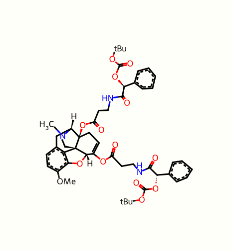 COc1ccc2c3c1O[C@H]1C(OC(=O)CCNC(=O)[C@@H](OC(=O)OC(C)(C)C)c4ccccc4)=CC[C@@]4(OC(=O)CCNC(=O)[C@@H](OC(=O)OC(C)(C)C)c5ccccc5)[C@@H](C2)N(C)CC[C@]314